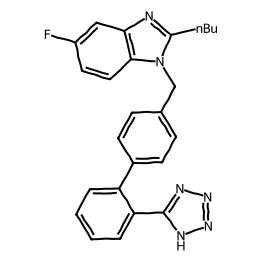 CCCCc1nc2cc(F)ccc2n1Cc1ccc(-c2ccccc2-c2nnn[nH]2)cc1